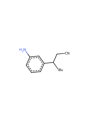 CCC(C)C(CC#N)c1cccc(N)c1